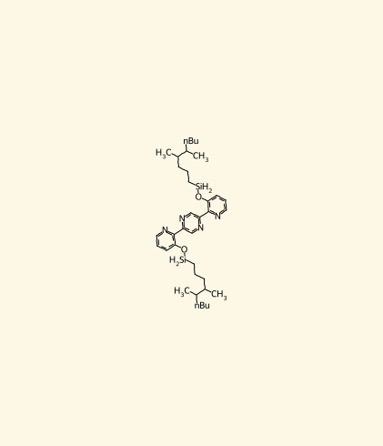 CCCCC(C)C(C)CCC[SiH2]Oc1cccnc1-c1cnc(-c2ncccc2O[SiH2]CCCC(C)C(C)CCCC)cn1